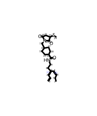 C=C/C=C(\C=C/CC)CCNC(=O)C1CCC(CN2C(=O)CC(SC)C2=O)CC1